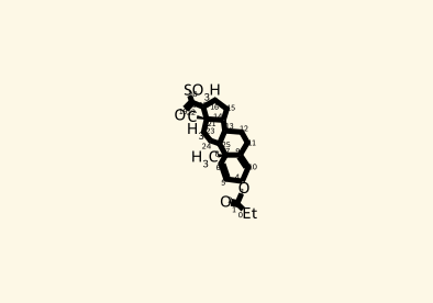 CCC(=O)OC1C=C[C@@]2(C)C(=C1)CCC1C3CCC(C(=O)S(=O)(=O)O)[C@@]3(C)CCC12